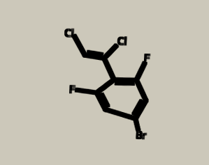 Fc1cc(Br)cc(F)c1/C(Cl)=C/Cl